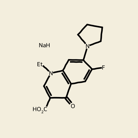 CCn1cc(C(=O)O)c(=O)c2cc(F)c(N3CCCC3)cc21.[NaH]